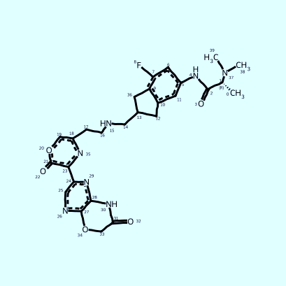 C[C@H](C(=O)Nc1cc(F)c2c(c1)CC(CNCCc1coc(=O)c(-c3cnc4c(n3)NC(=O)CO4)n1)C2)N(C)C